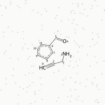 C#CCN.O=Cc1ccccc1